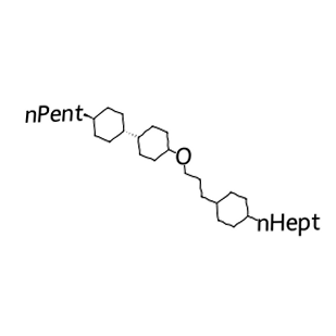 CCCCCCCC1CCC(CCCOC2CCC([C@H]3CC[C@H](CCCCC)CC3)CC2)CC1